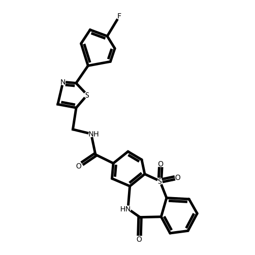 O=C(NCc1cnc(-c2ccc(F)cc2)s1)c1ccc2c(c1)NC(=O)c1ccccc1S2(=O)=O